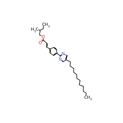 CCCCCCCCCCCCc1cnc(-c2ccc(/C=C/C(=O)OCC(C)CC)cc2)nc1